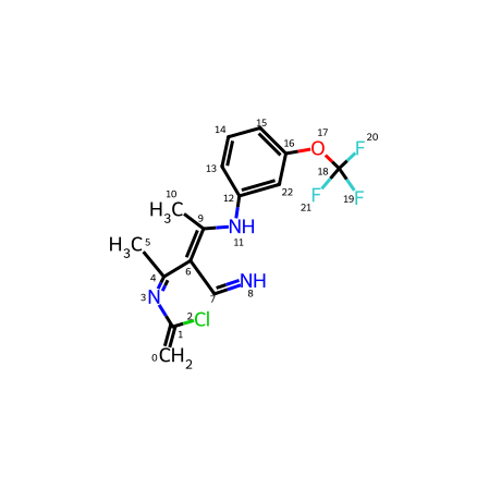 C=C(Cl)/N=C(C)\C(C=N)=C(/C)Nc1cccc(OC(F)(F)F)c1